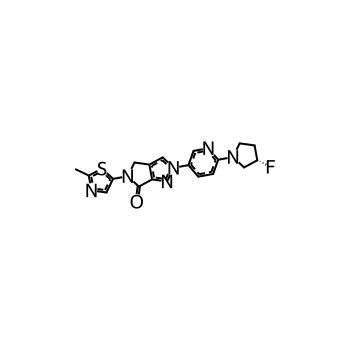 Cc1ncc(N2Cc3cn(-c4ccc(N5CC[C@H](F)C5)nc4)nc3C2=O)s1